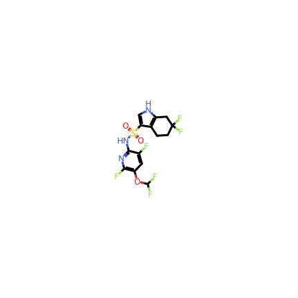 O=S(=O)(Nc1nc(F)c(OC(F)F)cc1F)c1c[nH]c2c1CCC(F)(F)C2